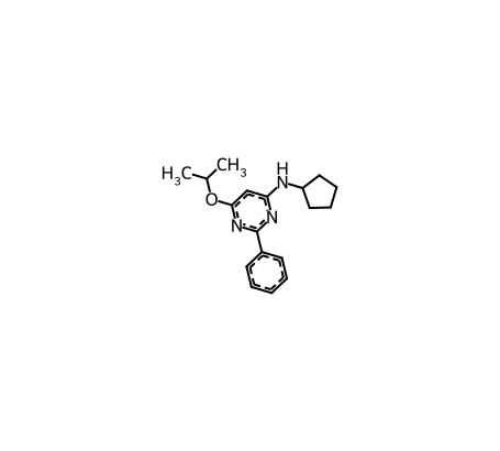 CC(C)Oc1cc(NC2CCCC2)nc(-c2ccccc2)n1